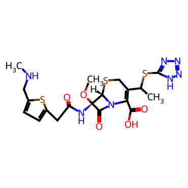 CNCc1ccc(CC(=O)N[C@]2(OC)C(=O)N3C(C(=O)O)=C(C(C)Sc4nnn[nH]4)CS[C@H]32)s1